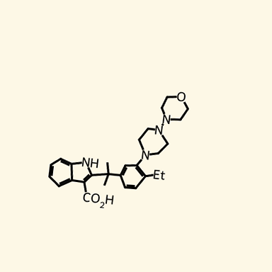 CCc1ccc(C(C)(C)c2[nH]c3ccccc3c2C(=O)O)cc1N1CCN(N2CCOCC2)CC1